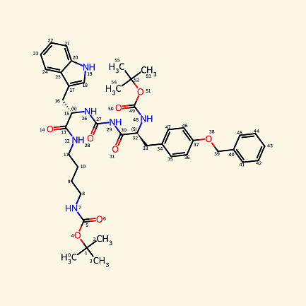 CC(C)(C)OC(=O)NCCCCNC(=O)[C@H](Cc1c[nH]c2ccccc12)NC(=O)NC(=O)[C@H](Cc1ccc(OCc2ccccc2)cc1)NC(=O)OC(C)(C)C